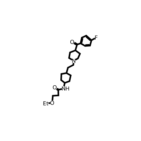 CCOCCC(=O)NC1CCC(CCN2CCC(C(=O)c3ccc(F)cc3)CC2)CC1